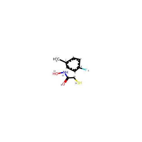 Cc1ccc(F)cc1.O=C(CS)NO